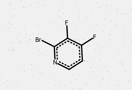 Fc1[c]cnc(Br)c1F